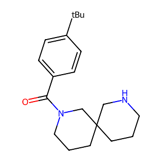 CC(C)(C)c1ccc(C(=O)N2CCCC3(CCCNC3)C2)cc1